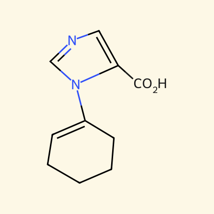 O=C(O)c1cncn1C1=CCCCC1